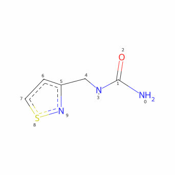 NC(=O)[N]Cc1ccsn1